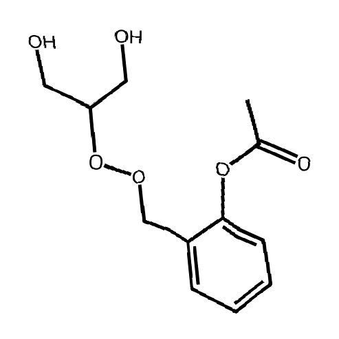 CC(=O)Oc1ccccc1COOC(CO)CO